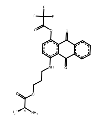 C[C@H](N)C(=O)OCCCNc1ccc(OC(=O)C(F)(F)F)c2c1C(=O)c1ccccc1C2=O